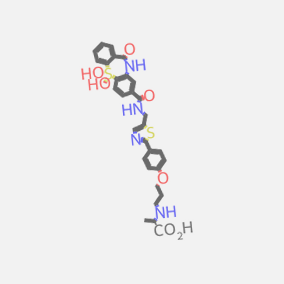 C[C@H](NCCCOc1ccc(-c2ncc(CNC(=O)c3ccc4c(c3)NC(=O)c3ccccc3S4(O)O)s2)cc1)C(=O)O